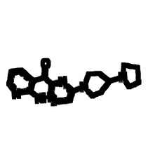 Nc1ncccc1C(=O)c1cccc(N2CCC(N3CCCC3)CC2)n1